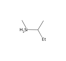 CCC(C)[SiH2]C